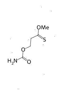 COC(=S)CCOC(N)=O